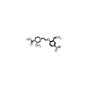 C=Cc1cc([N+](=O)[O-])ccc1OCCN1CCN(C(=O)O)[C@@H](C)C1